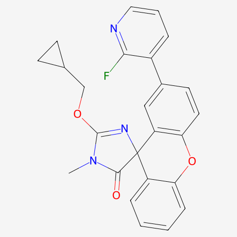 CN1C(=O)C2(N=C1OCC1CC1)c1ccccc1Oc1ccc(-c3cccnc3F)cc12